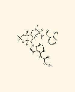 CN(C[C@H]1O[C@@H](n2cnc3c(NC(=O)OC(C)(C)C)ncnc32)[C@@H]2OC(C)(C)O[C@@H]21)S(=O)(=O)NC(=O)c1ccccc1O